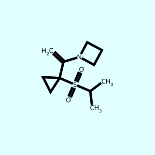 C=C(N1CCC1)C1(S(=O)(=O)C(C)C)CC1